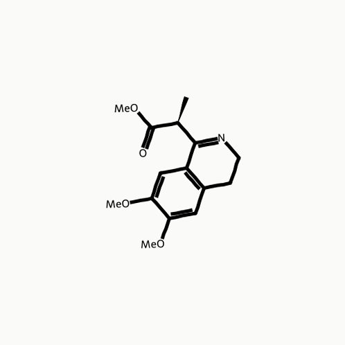 COC(=O)[C@@H](C)C1=NCCc2cc(OC)c(OC)cc21